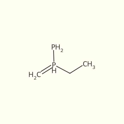 C=[PH](P)CC